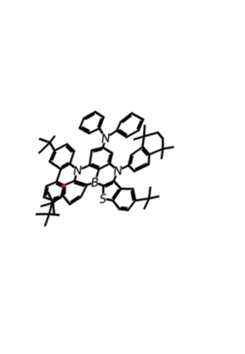 CC(C)(C)c1ccc(-c2cc(C(C)(C)C)ccc2N2c3cc(C(C)(C)C)ccc3B3c4sc5ccc(C(C)(C)C)cc5c4N(c4ccc5c(c4)C(C)(C)CCC5(C)C)c4cc(N(c5ccccc5)c5ccccc5)cc2c43)cc1